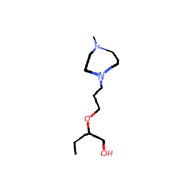 CCC(CO)OCCCN1CCN(C)CC1